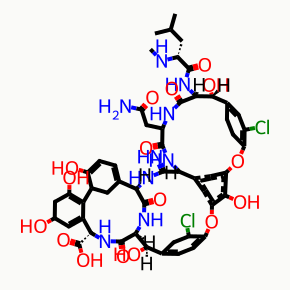 CN[C@H](CC(C)C)C(=O)N[C@H]1C(=O)NC(CC(N)=O)C(=O)N[C@H]2C(=N)N[C@H]3C(=O)N[C@H](C(=O)N[C@H](C(=O)O)C4=CC(O)CC(O)=C4C4CC3=CC=C4O)[C@H](O)C3=CC=C(Oc4cc2cc(c4O)OC2=C(Cl)C=C(CC2)[C@H]1O)C(Cl)C3